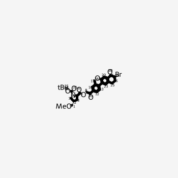 COC[C@H]1CC(C(=O)OCC(=O)c2ccc3c(c2)COc2cc4c(cc2-3)CCC(Br)C4=O)N(C(=O)OC(C)(C)C)C1